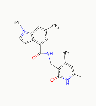 CCCc1cc(C)[nH]c(=O)c1CNC(=O)c1cc(C(F)(F)F)cc2c1ccn2C(C)C